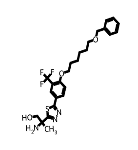 CC(N)(CO)c1nnc(-c2ccc(OCCCCCCOCc3ccccc3)c(C(F)(F)F)c2)s1